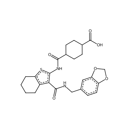 O=C(NCc1ccc2c(c1)OCO2)c1c(NC(=O)C2CCC(C(=O)O)CC2)sc2c1CCCC2